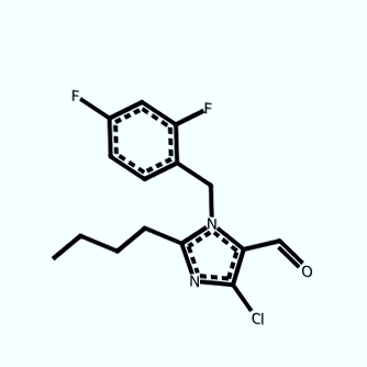 CCCCc1nc(Cl)c(C=O)n1Cc1ccc(F)cc1F